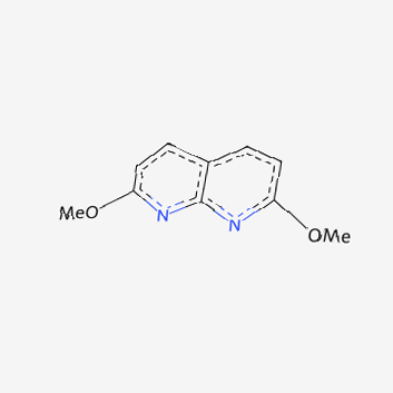 COc1ccc2ccc(OC)nc2n1